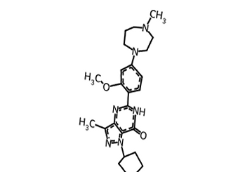 COc1cc(N2CCCN(C)CC2)ccc1-c1nc2c(C)nn(C3CCCCC3)c2c(=O)[nH]1